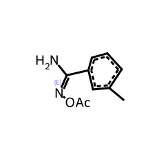 CC(=O)O/N=C(/N)c1cccc(C)c1